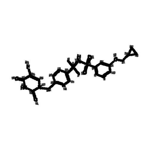 CC(C)(NS(=O)(=O)c1cccc(OCC2CC2)c1)c1ccc(Cn2cc(F)c(=O)[nH]c2=O)nc1